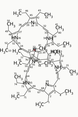 CCC1=C(CC)c2cc3[nH]c(c(CC)c3CC)c(C(C)c3c4nc(cc5[nH]c(cc6nc(cc7[nH]c3c(CC)c7CC)C(CC)=C6CC)c(CC)c5CC)C(CC)=C4CC)c3nc(cc4[nH]c(cc1n2)c(CC)c4CC)C(CC)=C3CC